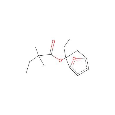 CCC(C)(C)C(=O)OC1(CC)Cc2ccc1o2